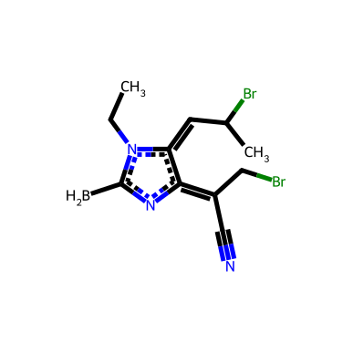 Bc1nc(=C(\C#N)CBr)/c(=C\C(C)Br)n1CC